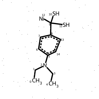 CCN(CC)c1ccc([C](S)(S)[Ni])cc1